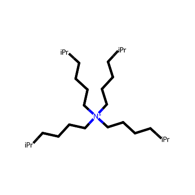 CC(C)CCCC[N+](CCCCC(C)C)(CCCCC(C)C)CCCCC(C)C